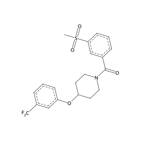 CS(=O)(=O)c1cccc(C(=O)N2CCC(Oc3cccc(C(F)(F)F)c3)CC2)c1